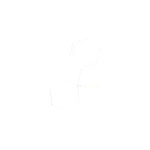 SC1(c2ccccc2)C=CC=CO1